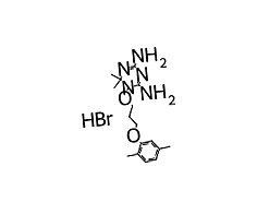 Br.Cc1ccc(C)c(OCCCON2C(N)=NC(N)=NC2(C)C)c1